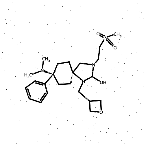 CN(C)[C@]1(c2ccccc2)CC[C@]2(CC1)CN(CCS(C)(=O)=O)C(O)N2CC1COC1